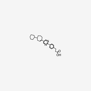 O=C(O)CCc1ccc(-c2ncc(C3=CCC(C4CCCCC4)CCC3)cn2)cc1